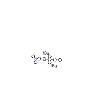 CC(C)(C)c1ccc2c(-c3ccc(-c4ccc5c(c4)c4ccccc4n5-c4ccccc4)cc3)c3cc(C(C)(C)C)ccc3c(-c3ccc(-c4ccccc4)cc3)c2c1